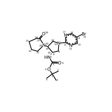 CC(C)(C)OC(=O)N[C@H]1CN(c2ncc(Br)cn2)C[C@@H]1N1CCCCC1=O